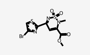 COC(=O)C1=CC(c2nc(Br)cs2)=NS(=O)(=O)N1C